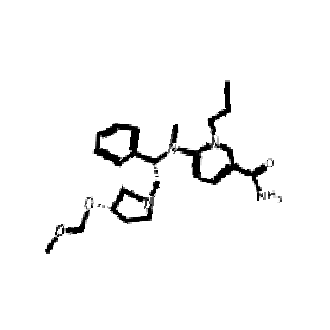 CCCN1CC(C(N)=O)=CC=C1N(C)[C@H](CN1CC[C@H](OCOC)C1)c1ccccc1